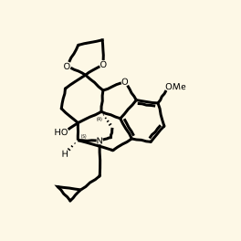 COc1ccc2c3c1OC1C4(CCC5(O)[C@H](C2)N(CC2CC2)CC[C@@]315)OCCO4